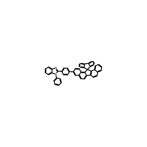 c1ccc(-n2c(-c3ccc(-c4ccc5c6c(ccc5c4)-c4ccc5ccccc5c4C64c5ccccc5-c5ccccc54)cc3)nc3ccccc32)cc1